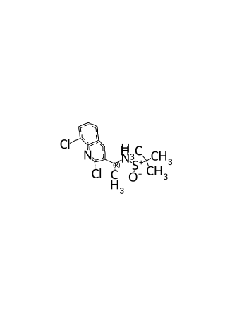 C[C@@H](N[S+]([O-])C(C)(C)C)c1cc2cccc(Cl)c2nc1Cl